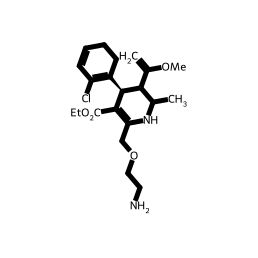 C=C(OC)C1C(C)NC(COCCN)=C(C(=O)OCC)[C@H]1C1=C(Cl)C=CCC1